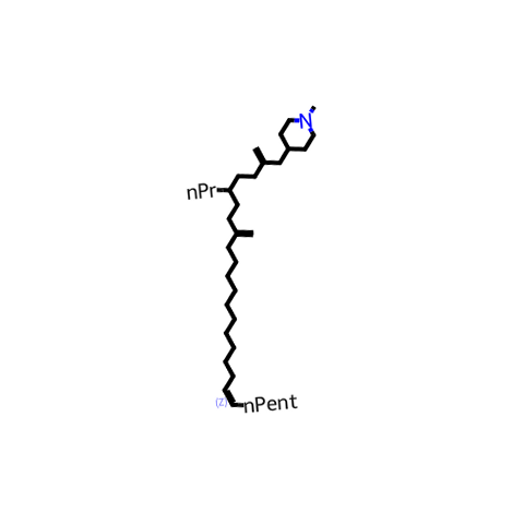 C=C(CCCCCCCCCC/C=C\CCCCC)CCC(CCC)CCC(=C)CC1CCN(C)CC1